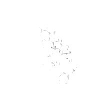 Fc1ccc(Cl)cc1CNc1ncc2nc(-c3c(F)cccc3I)n(C[C@@H]3CCCNC3)c2n1